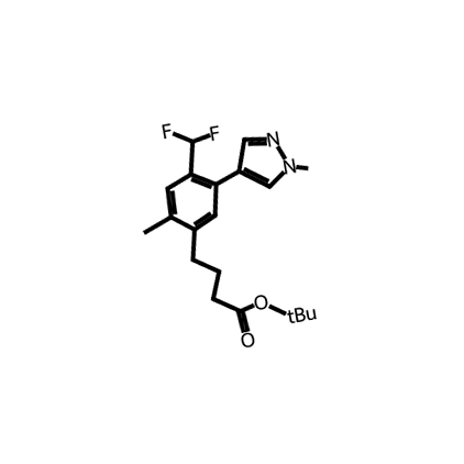 Cc1cc(C(F)F)c(-c2cnn(C)c2)cc1CCCC(=O)OC(C)(C)C